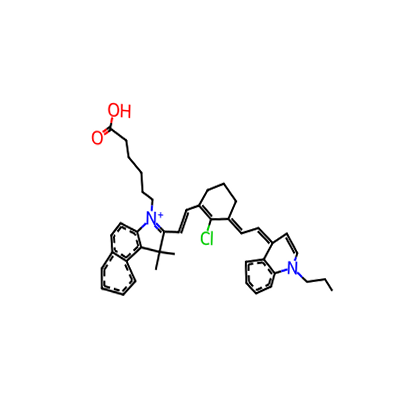 CCCN1C=C/C(=C/C=C2\CCCC(/C=C/C3=[N+](CCCCCC(=O)O)c4ccc5ccccc5c4C3(C)C)=C2Cl)c2ccccc21